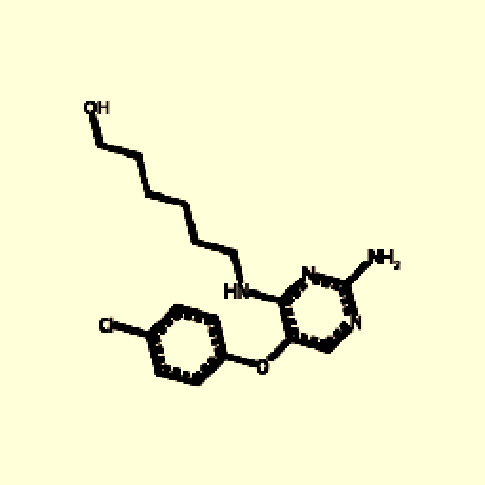 Nc1ncc(Oc2ccc(Cl)cc2)c(NCCCCCCO)n1